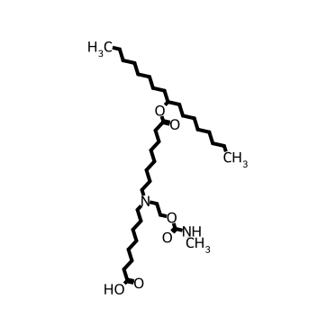 CCCCCCCCC(CCCCCCCC)OC(=O)CCCCCCCN(CCCCCCCC(=O)O)CCOC(=O)NC